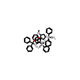 B[PH](C[C@@H]1[C@@H](CCOC(c2ccccc2)(c2ccccc2)c2ccccc2)C(OC)C[C@@H]1[PH](B)(c1ccccc1)c1ccccc1)(c1ccccc1)c1ccccc1